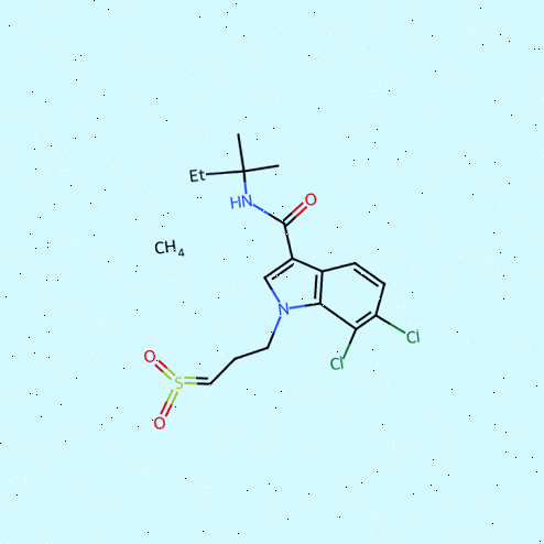 C.CCC(C)(C)NC(=O)c1cn(CCC=S(=O)=O)c2c(Cl)c(Cl)ccc12